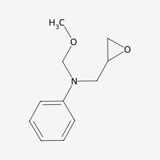 COCN(CC1CO1)c1ccccc1